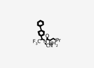 CC(C)C[C@H](N)C(=O)N(CC#N)C(c1ccc(-c2ccccc2)cc1)C(F)(F)F